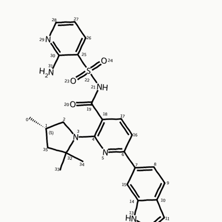 C[C@@H]1CN(c2nc(-c3ccc4cc[nH]c4c3)ccc2C(=O)NS(=O)(=O)c2cccnc2N)C(C)(C)C1